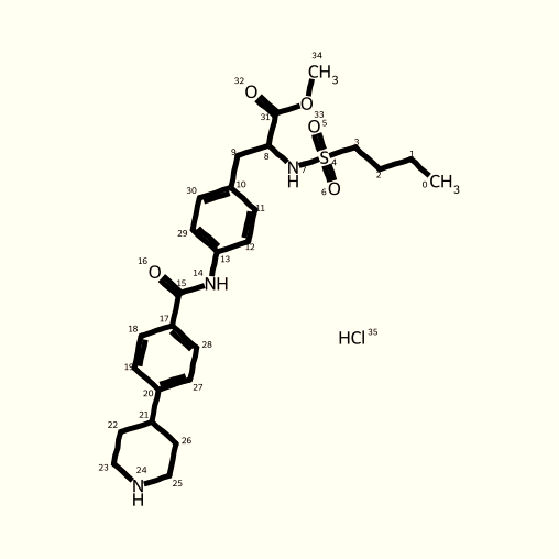 CCCCS(=O)(=O)NC(Cc1ccc(NC(=O)c2ccc(C3CCNCC3)cc2)cc1)C(=O)OC.Cl